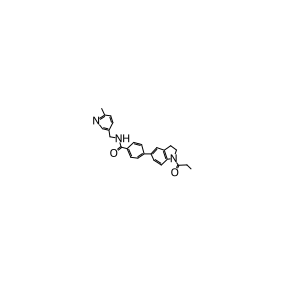 CCC(=O)N1CCc2cc(-c3ccc(C(=O)NCc4ccc(C)nc4)cc3)ccc21